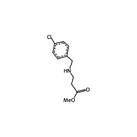 COC(=O)CCNCc1ccc(Cl)cc1